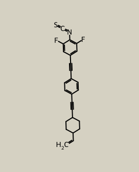 C=CC1CCC(C#Cc2ccc(C#Cc3cc(F)c(N=C=S)c(F)c3)cc2)CC1